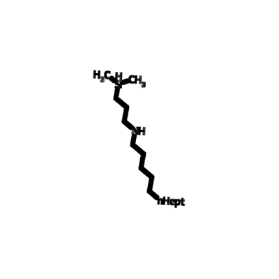 CCCCCCCCCCCCNCCC[SiH](C)C